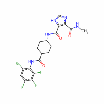 CNC(=O)c1nc[nH]c1C(=O)N[C@H]1CC[C@H](C(=O)Nc2c(Br)cc(F)c(F)c2F)CC1